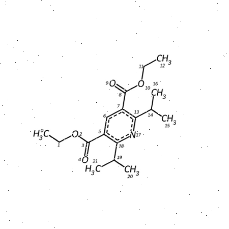 CCOC(=O)c1cc(C(=O)OCC)c(C(C)C)nc1C(C)C